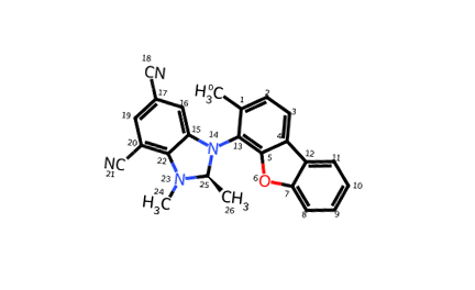 Cc1ccc2c(oc3ccccc32)c1N1c2cc(C#N)cc(C#N)c2N(C)[C@@H]1C